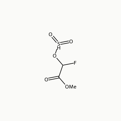 COC(=O)C(F)O[SH](=O)=O